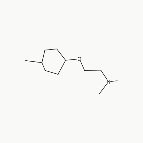 CC1CCC(OCCN(C)C)CC1